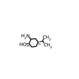 CC(C)[C@H]1CC[C@@H](O)C(N)C1